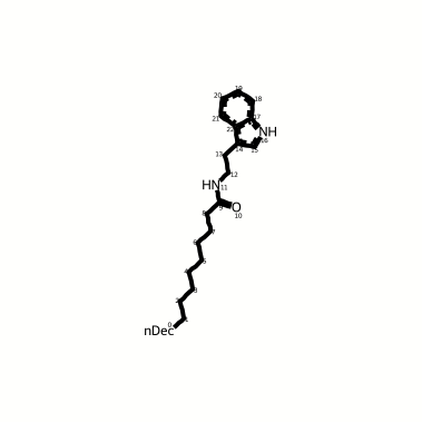 CCCCCCCCCCCCCCCCCCC(=O)NCCc1c[nH]c2ccccc12